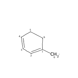 [CH2]C1=CC=CCC1